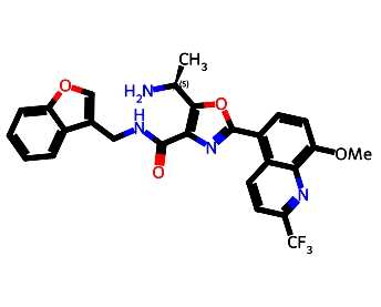 COc1ccc(-c2nc(C(=O)NCc3coc4ccccc34)c([C@H](C)N)o2)c2ccc(C(F)(F)F)nc12